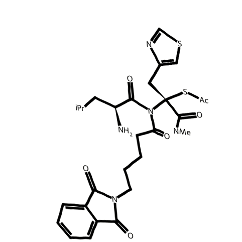 CNC(=O)[C@@](Cc1cscn1)(SC(C)=O)N(C(=O)CCCCN1C(=O)c2ccccc2C1=O)C(=O)[C@@H](N)CC(C)C